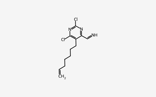 C=CCCCCCc1c(Cl)nc(Cl)nc1C=N